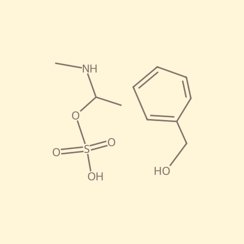 CNC(C)OS(=O)(=O)O.OCc1ccccc1